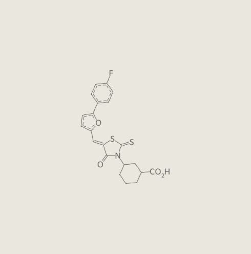 O=C(O)C1CCCC(N2C(=O)C(=Cc3ccc(-c4ccc(F)cc4)o3)SC2=S)C1